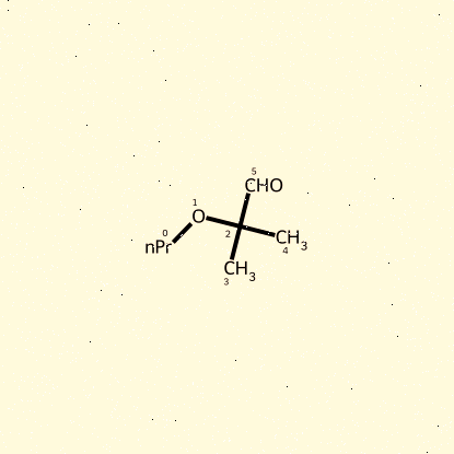 CCCOC(C)(C)C=O